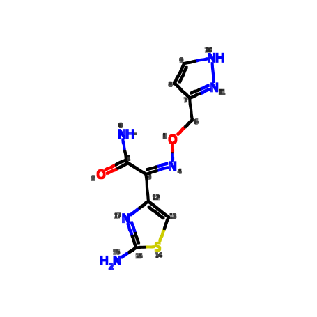 [NH]C(=O)/C(=N\OCc1cc[nH]n1)c1csc(N)n1